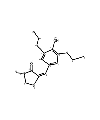 CCCc1cc(C=C2SCN(C)C2=O)cc(CCC)c1O